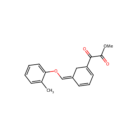 COC(=O)C(=O)C1=CC=CC(=COc2ccccc2C)C1